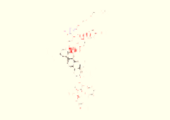 COCCOCCOCC(=O)N[C@@H]1C(O)C(O[C@@H]2OC(C)[C@H](O[C@@H]3OC[C@@H](O)C(O)C3O)C(O)C2O)[C@H](OC(=O)[C@]23CCC(C)(C)CC2C2=CCC4C5(C)CC[C@H](O[C@@H]6OC(C(=O)O)[C@@H](O)[C@H](O[C@@H]7OC[C@@H](O)[C@H](O)C7O)C6O[C@@H]6OC(CO)[C@H](O)[C@H](O)C6O)[C@](C)(C=O)[C@@H]5CC[C@]4(C)[C@]2(C)CC3O)O[C@@H]1CO